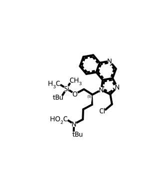 CC(C)(C)N(CCC[C@@H](CO[Si](C)(C)C(C)(C)C)n1c(CCl)nc2cnc3ccccc3c21)C(=O)O